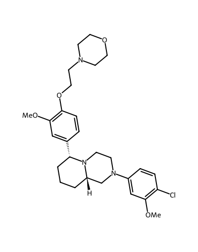 COc1cc(N2CCN3[C@@H](CCC[C@@H]3c3ccc(OCCN4CCOCC4)c(OC)c3)C2)ccc1Cl